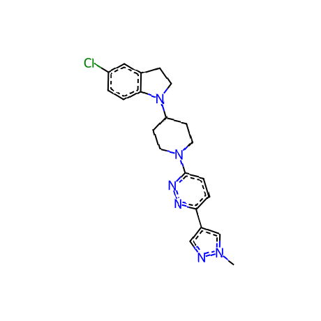 Cn1cc(-c2ccc(N3CCC(N4CCc5cc(Cl)ccc54)CC3)nn2)cn1